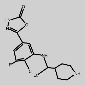 CCC(Nc1cc(-c2n[nH]c(=O)o2)cc(F)c1Cl)C1CCNCC1